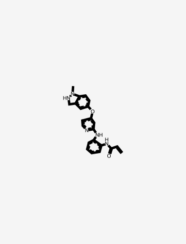 C=CC(=O)Nc1ccccc1Nc1cc(Oc2ccc3c(c2)CNN3C)ccn1